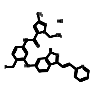 CCn1nc(C)cc1C(=O)Nc1ccc(CF)c(Nc2ccc3c(/C=C/c4ccccn4)n[nH]c3c2)c1.Cl